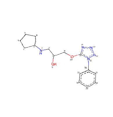 OC(CNC1CCCC1)COc1nnnn1-c1ccccc1